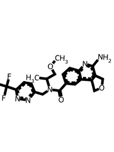 COCC(C)N(Cc1ccc(C(F)(F)F)nn1)C(=O)c1ccc2nc(N)c3c(c2c1)COC3